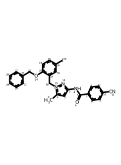 Cc1cc(NC(=O)c2ccc(C#N)cc2)nn1Cc1cc(I)ccc1OCc1ccccc1